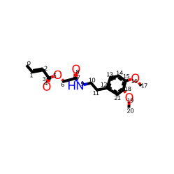 CC=CC(=O)OCC(=O)NCCc1ccc(OC)c(OC)c1